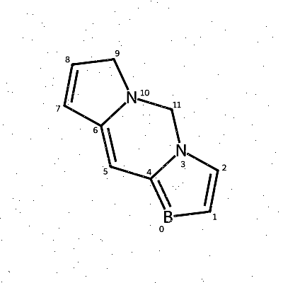 b1ccn2c1C=C1C=CCN1C2